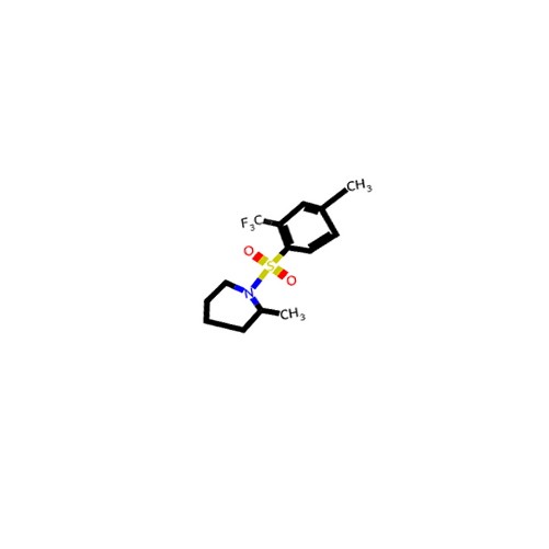 Cc1ccc(S(=O)(=O)N2CCCCC2C)c(C(F)(F)F)c1